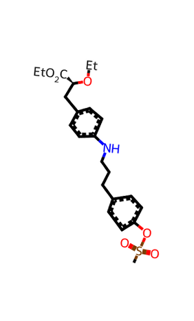 CCOC(=O)[C@H](Cc1ccc(NCCCc2ccc(OS(C)(=O)=O)cc2)cc1)OCC